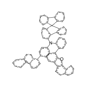 c1ccc(N(c2ccc(-c3cccc4c3ccc3ccccc34)cc2)c2cccc3c2-c2ccccc2C32c3ccccc3-c3ccccc32)c(-c2cccc3c2oc2c4ccccc4ccc32)c1